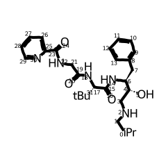 CC(C)CNC[C@@H](O)[C@H](Cc1ccccc1)NC(=O)[C@@H](NC(=O)CNC(=O)c1ccccn1)C(C)(C)C